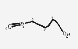 O=BCCCO